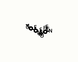 CC(C)Oc1ccc(-c2ccc(N3C(=S)N(c4ccc(C#N)c(C(F)(F)F)c4)C(=O)C3(C)C)cc2F)cc1